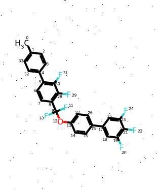 Cc1ccc(-c2ccc(C(F)(F)Oc3ccc(-c4cc(F)c(F)c(F)c4)cc3)c(F)c2F)cc1